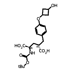 CC(C)(C)OC(=O)N[C@H](C[C@H](Cc1ccc(OC2CC(O)C2)cc1)C(=O)O)C(=O)O